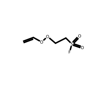 C=COOCCS(=O)(=O)F